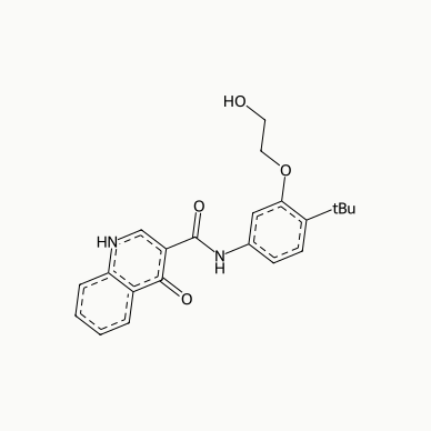 CC(C)(C)c1ccc(NC(=O)c2c[nH]c3ccccc3c2=O)cc1OCCO